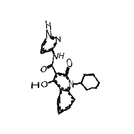 O=C(Nc1cc[nH]n1)c1c(O)c2ccccc2n(C2CCCCC2)c1=O